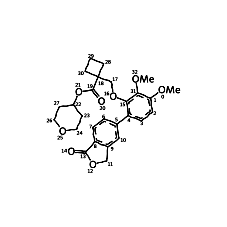 COc1ccc(-c2ccc3c(c2)COC3=O)c(OCC2(C(=O)OC3CCOCC3)CCC2)c1OC